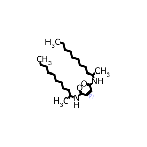 CCCCCCCCCC(C)NC(=O)/C=C\C(=O)NC(C)CCCCCCCCC